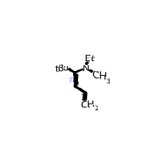 C=C/C=C(\N(C)CC)C(C)(C)C